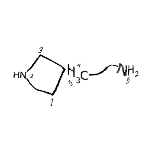 C1CNC1.CN